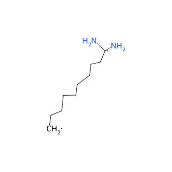 [CH2]CCCCCCCC[C](N)N